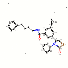 O=C(NCCCCc1ccccc1)c1cc(-c2csc(=O)n2-c2ccccc2)cc(C2CC2)c1